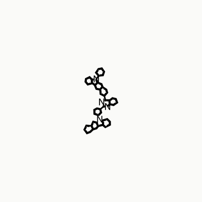 c1ccc(-n2c3ccccc3c3cc4cc(-c5nc(-c6cccc(-n7c8ccccc8c8cc9ccccc9cc87)c6)nc6ccccc56)ccc4cc32)cc1